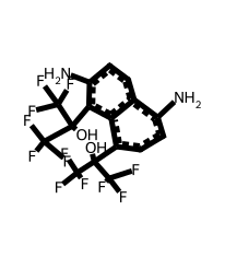 Nc1ccc2c(N)ccc(C(O)(C(F)(F)F)C(F)(F)F)c2c1C(O)(C(F)(F)F)C(F)(F)F